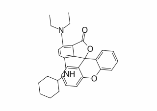 CCN(CC)c1ccc(NC2CCCCC2)c2c1C(=O)OC21c2ccccc2Oc2ccccc21